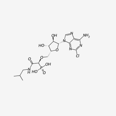 CC(C)CNC(=O)[C@@H](OC[C@H]1O[C@@H](n2cnc3c(N)nc(Cl)nc32)[C@H](O)[C@H]1O)P(=O)(O)O